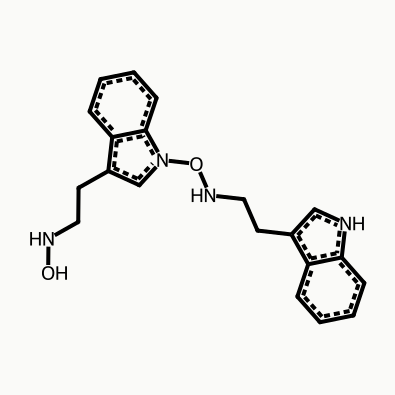 ONCCc1cn(ONCCc2c[nH]c3ccccc23)c2ccccc12